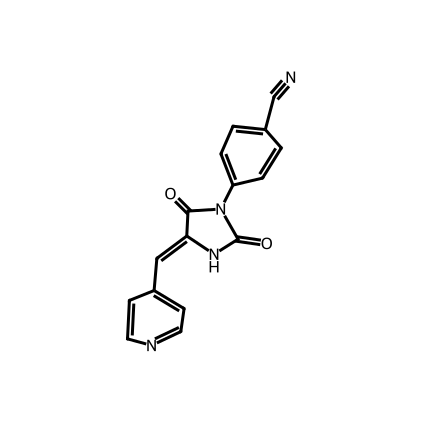 N#Cc1ccc(N2C(=O)N/C(=C\c3ccncc3)C2=O)cc1